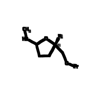 CBC1CC[C@@](CC)(COC(C)C)O1